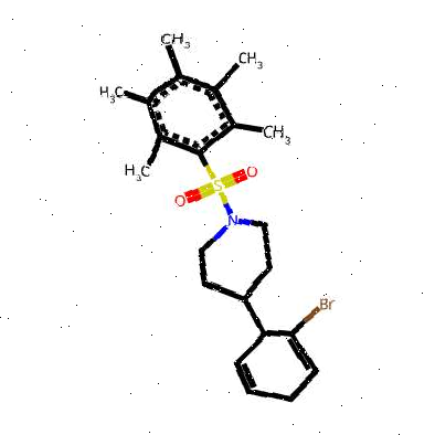 Cc1c(C)c(C)c(S(=O)(=O)N2CCC(C3C=CCC=C3Br)CC2)c(C)c1C